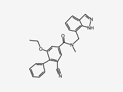 CCOc1cc(C(=O)N(C)Cc2cccc3cn[nH]c23)cc(C#N)c1-c1ccccc1